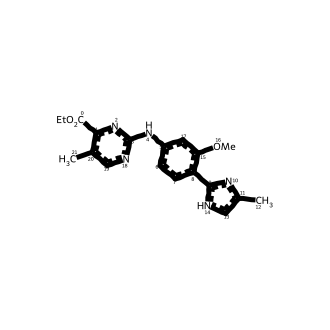 CCOC(=O)c1nc(Nc2ccc(-c3nc(C)c[nH]3)c(OC)c2)ncc1C